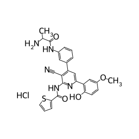 COc1ccc(O)c(-c2cc(-c3cccc(NC(=O)C(C)N)c3)c(C#N)c(NC(=O)c3cccs3)n2)c1.Cl